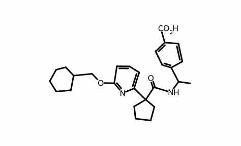 CC(NC(=O)C1(c2cccc(OCC3CCCCC3)n2)CCCC1)c1ccc(C(=O)O)cc1